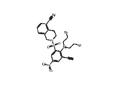 C#Cc1cc([N+](=O)[O-])cc(S(=O)(=O)N2CCc3c(C#N)cccc3C2)c1N(CCBr)CCBr